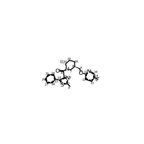 Cc1nc(C(=O)N2C[C@H](COc3ccc(F)cn3)CC[C@H]2C)c(-c2ccccc2)s1